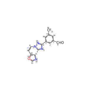 O=Cc1cc(-c2ncn(/C=C\c3cnco3)n2)cc(C(F)(F)F)c1